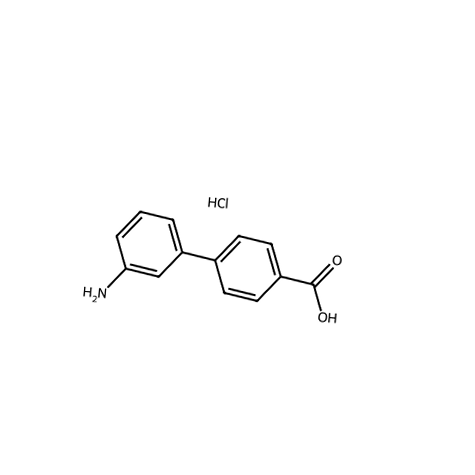 Cl.Nc1cccc(-c2ccc(C(=O)O)cc2)c1